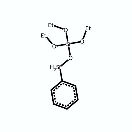 CCO[Si](OCC)(OCC)O[SiH2]c1ccccc1